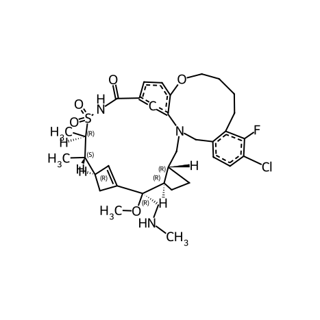 CNC[C@]1(OC)C2=C[C@@H](C2)[C@H](C)[C@@H](C)S(=O)(=O)NC(=O)c2ccc3c(c2)N(Cc2ccc(Cl)c(F)c2CCCCO3)C[C@@H]2CC[C@H]21